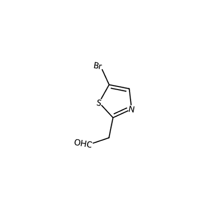 O=CCc1ncc(Br)s1